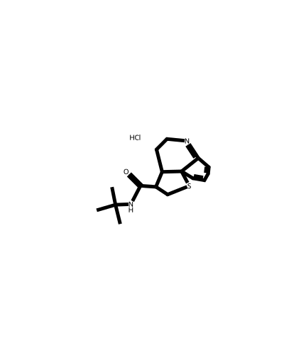 CC(C)(C)NC(=O)C1CSC23C=CC=CC2=NCCC13.Cl